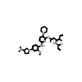 C=CC(=O)NC(/C=C(\C)Oc1nc(Nc2ccc(N3CCC(N(C)C)C3)cc2OC)ccc1N1CCCCC1)=C(\C)C=C